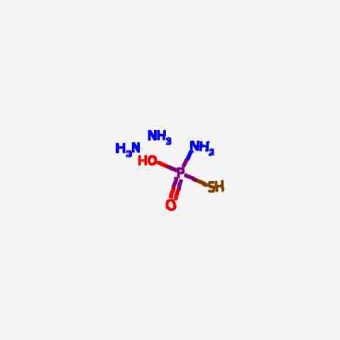 N.N.NP(=O)(O)S